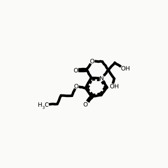 CCCCOc1c2n(ccc1=O)C(CO)(CO)COC2=O